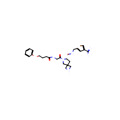 N=C(N)c1csc(CNC(=O)[C@@H]2CC3(CNC3)CN2C(=O)CNC(=O)CCCOc2ccccc2)c1